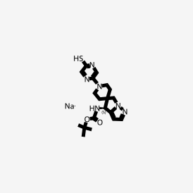 CC(C)(C)OC(=O)N[C@@H]1c2ccnn2CC12CCN(c1cnc(S)cn1)CC2.[Na]